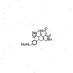 CNCc1ccc(C2CC3=C4C(=CNC(=O)C=C4N(F)NC3)C2c2ncnn2C)cc1